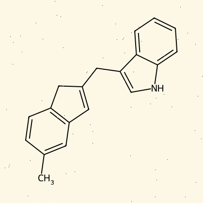 Cc1ccc2c(c1)C=C(Cc1c[nH]c3ccccc13)C2